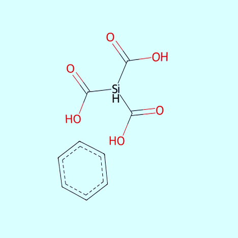 O=C(O)[SiH](C(=O)O)C(=O)O.c1ccccc1